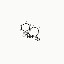 O=C1CCCC2(CCCCC2)C(=O)N1